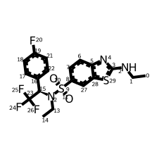 CCNc1nc2ccc(S(=O)(=O)N(CC)[C@H](c3ccc(F)cc3)C(F)(F)F)cc2s1